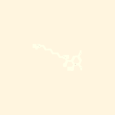 NCCCCCCNC(=O)c1cc(I)cc(I)c1O